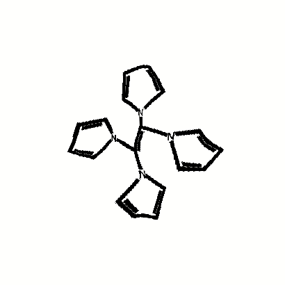 c1ccn(C(=C(n2cccc2)n2cccc2)n2cccc2)c1